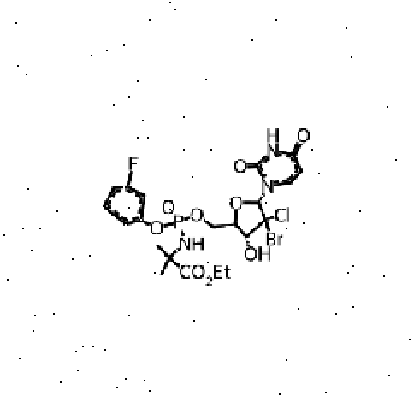 CCOC(=O)C(C)(C)N[P@@](=O)(OC[C@H]1O[C@@H](n2ccc(=O)[nH]c2=O)[C@](Cl)(Br)[C@@H]1O)Oc1cccc(F)c1